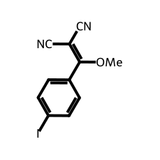 COC(=C(C#N)C#N)c1ccc(I)cc1